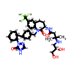 CC(C)(CC(=O)N[C@@H]1CCc2cc(C(F)(F)F)ccc2N(Cc2ccc(-c3ccccc3-n3nc[nH]c3=O)cc2)C1=O)NC[C@H](O)CO